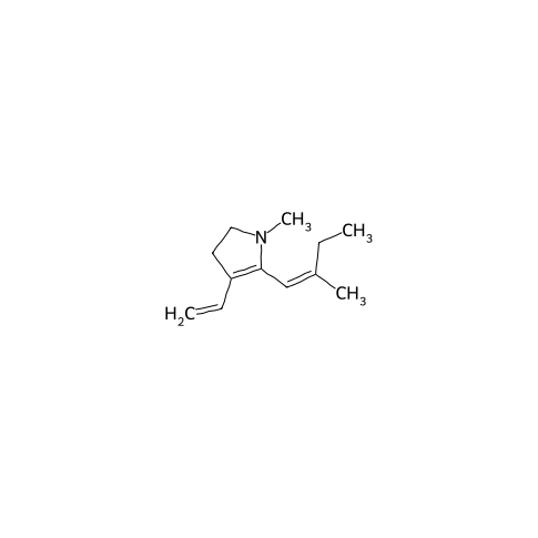 C=CC1=C(/C=C(/C)CC)N(C)CC1